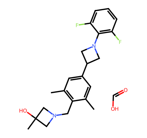 Cc1cc(C2CN(c3c(F)cccc3F)C2)cc(C)c1CN1CC(C)(O)C1.O=CO